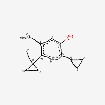 COc1cc(O)c(C2CC2)cc1C1(C)CC1